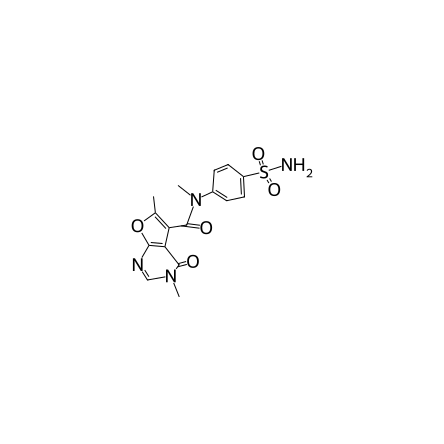 Cc1oc2ncn(C)c(=O)c2c1C(=O)N(C)c1ccc(S(N)(=O)=O)cc1